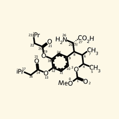 COC(=O)OC(C)C(C)C(c1ccc(OC(=O)CC(C)C)c(OC(=O)CC(C)C)c1)[C@H](N)C(=O)O